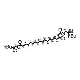 CCCCC(CC)COC(=O)CCCCCCCCCCCCCCCC(CC)CC(=O)OCC(CC)CCCC